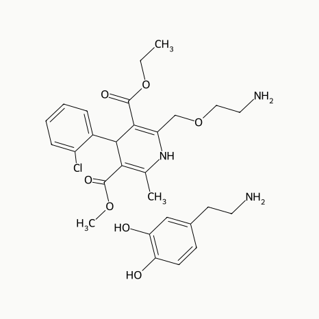 CCOC(=O)C1=C(COCCN)NC(C)=C(C(=O)OC)C1c1ccccc1Cl.NCCc1ccc(O)c(O)c1